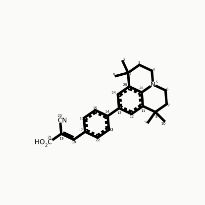 CC1(C)CCN2CCC(C)(C)c3cc(-c4ccc(/C=C(\C#N)C(=O)O)cc4)cc1c32